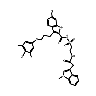 Cc1cc(OCCCc2c(C(=O)NS(=O)(=O)CCNC(=O)Cc3cn(C)c4ccccc34)[nH]c3cc(Cl)ccc23)cc(C)c1Cl